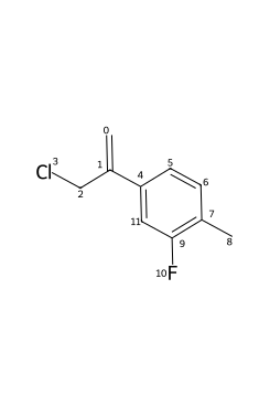 C=C(CCl)c1ccc(C)c(F)c1